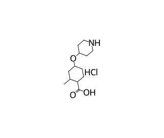 CC1CC(OC2CCNCC2)CCC1C(=O)O.Cl